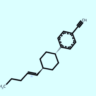 C#Cc1ccc([C@H]2CC[C@H](/C=C/CCC)CC2)cc1